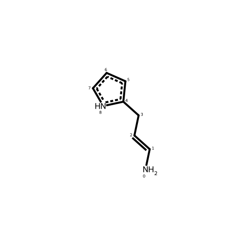 NC=CCc1ccc[nH]1